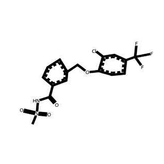 CS(=O)(=O)NC(=O)c1cccc(COc2ccc(C(F)(F)F)cc2Cl)c1